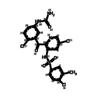 Cc1cc(S(=O)(=O)Nc2cc(Cl)cnc2C(=O)c2cc(NC(N)=O)ccc2Cl)ccc1Cl